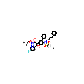 CONC(=O)c1c(-c2ccc(F)cc2)oc2cc(N(CCCCc3ccccc3)S(C)(=O)=O)c(-c3ccccc3)cc12